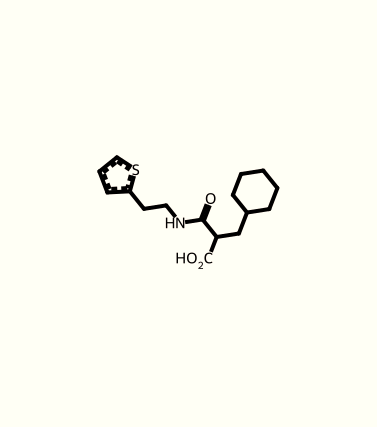 O=C(O)C(CC1CCCCC1)C(=O)NCCc1cccs1